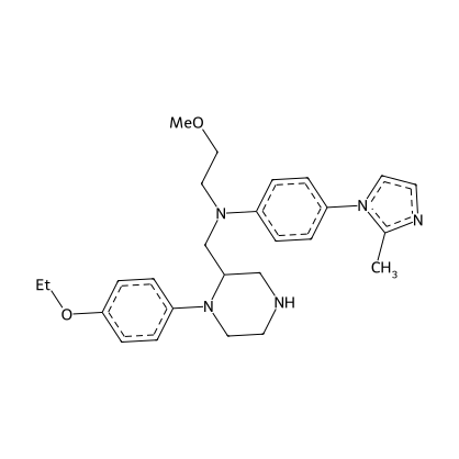 CCOc1ccc(N2CCNCC2CN(CCOC)c2ccc(-n3ccnc3C)cc2)cc1